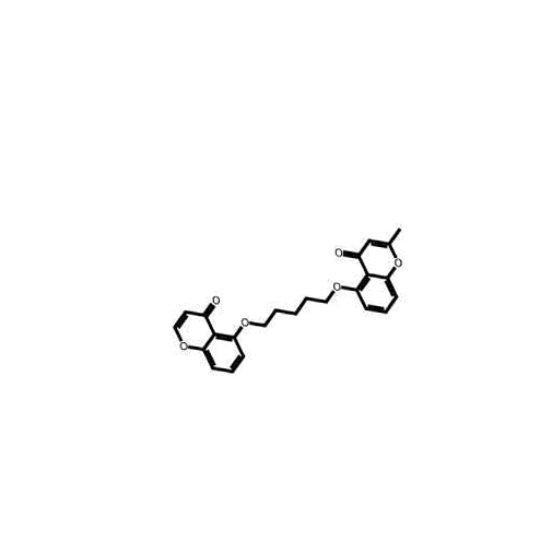 Cc1cc(=O)c2c(OCCCCCOc3cccc4occc(=O)c34)cccc2o1